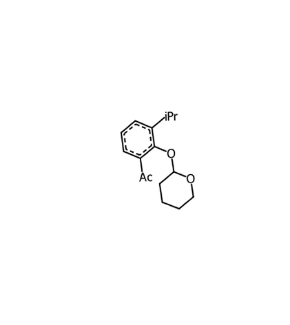 CC(=O)c1cccc(C(C)C)c1OC1CCCCO1